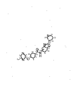 Cc1cncc(Oc2ccc(C(=O)Nc3ccc4oc(-c5cccnc5)nc4c3)cc2)n1